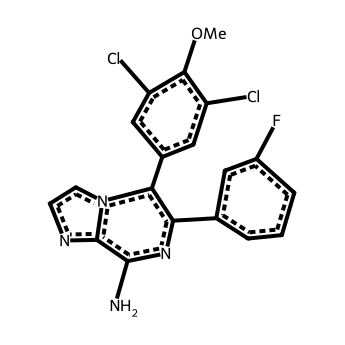 COc1c(Cl)cc(-c2c(-c3cccc(F)c3)nc(N)c3nccn23)cc1Cl